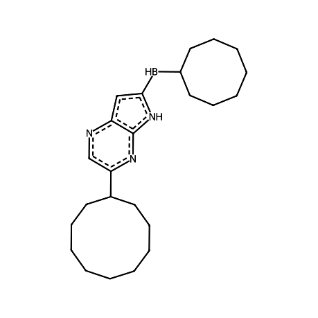 B(c1cc2ncc(C3CCCCCCCCC3)nc2[nH]1)C1CCCCCCC1